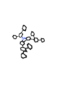 C1=C(c2ccccc2)C=C(n2c3ccc(-c4ccc(-c5ccccc5)cc4-c4ccccc4)cc3c3cc(-c4ccc(-c5ccccc5)cc4-c4ccccc4)ccc32)CC1c1ccccc1